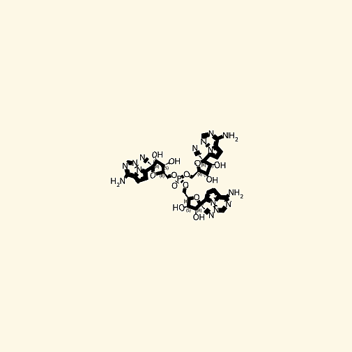 N#C[C@@]1(c2ccc3c(N)ncnn23)O[C@H](COP(=O)(OC[C@H]2O[C@@](C#N)(c3ccc4c(N)ncnn34)[C@H](O)[C@@H]2O)OC[C@H]2O[C@@](C#N)(c3ccc4c(N)ncnn34)[C@H](O)[C@@H]2O)[C@@H](O)[C@H]1O